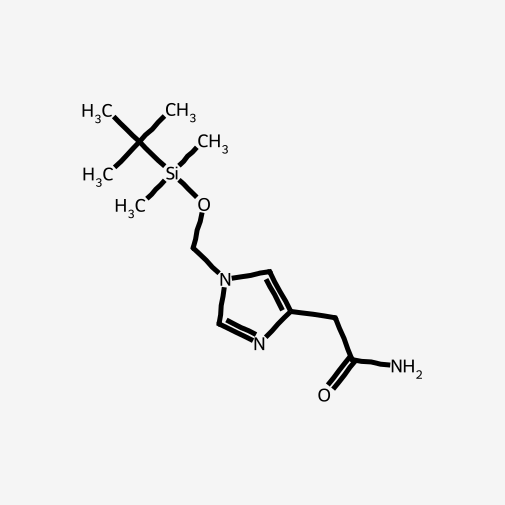 CC(C)(C)[Si](C)(C)OCn1cnc(CC(N)=O)c1